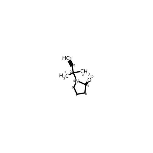 C#CC(C)(C)N1CCCC1=O